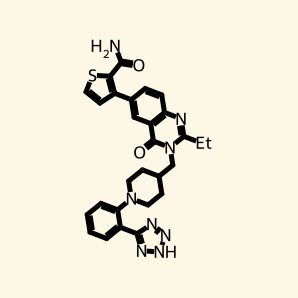 CCc1nc2ccc(-c3ccsc3C(N)=O)cc2c(=O)n1CC1CCN(c2ccccc2-c2nn[nH]n2)CC1